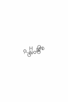 Cc1ccccc1CCC(=O)NCc1ccc(-c2nc(C(=O)N3CCCCC3)co2)cc1